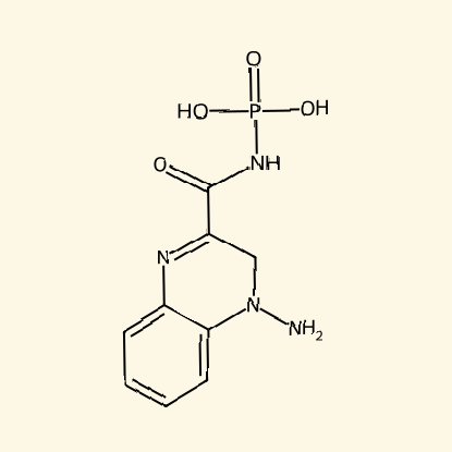 NN1CC(C(=O)NP(=O)(O)O)=Nc2ccccc21